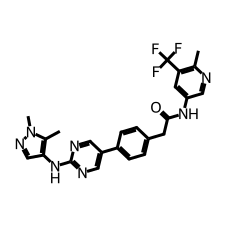 Cc1ncc(NC(=O)Cc2ccc(-c3cnc(Nc4cnn(C)c4C)nc3)cc2)cc1C(F)(F)F